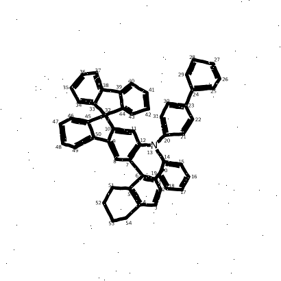 Cc1ccc2c(c1-c1cc3c(cc1N(c1ccccc1)c1ccc(-c4ccccc4)cc1)C1(c4ccccc4-c4ccccc41)c1ccccc1-3)CCCC2